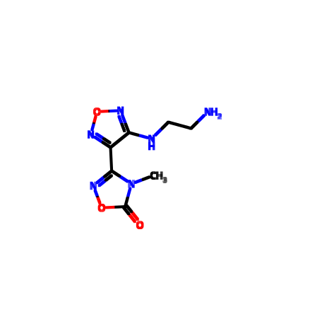 Cn1c(-c2nonc2NCCN)noc1=O